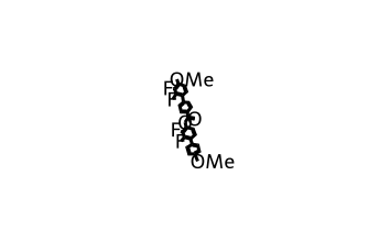 COc1ccc(-c2ccc(OC(=O)c3ccc(-c4ccc(OC)c(F)c4F)cc3)c(F)c2F)cc1